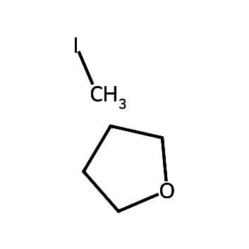 C1CCOC1.CI